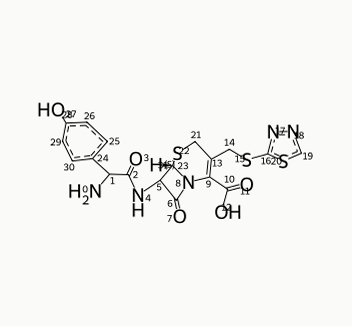 NC(C(=O)NC1C(=O)N2C(C(=O)O)=C(CSc3nncs3)CS[C@@H]12)c1ccc(O)cc1